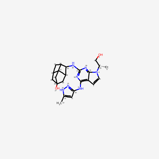 CC[C@@H](CO)n1ccc2c(Nc3cc(C)[nH]n3)nc(NC3C4CC5CC3CC(O)(C5)C4)nc21